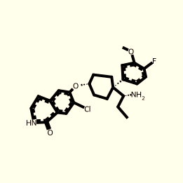 CC[C@@H](N)[C@]1(c2ccc(F)c(OC)c2)CC[C@@H](Oc2cc3cc[nH]c(=O)c3cc2Cl)CC1